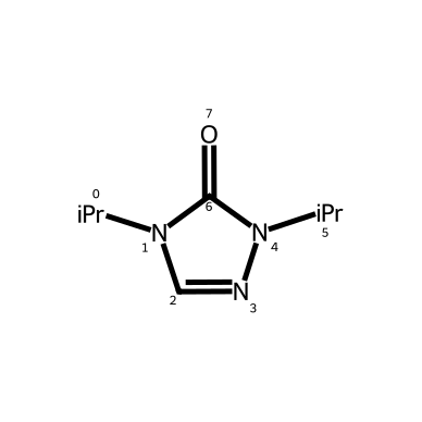 CC(C)n1cnn(C(C)C)c1=O